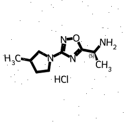 CC1CCN(c2noc([C@H](C)N)n2)C1.Cl